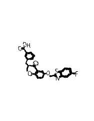 O=C(O)c1cccc(CC2COc3ccc(OCc4nc5cc(F)ccc5s4)cc3C2=O)c1